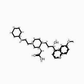 COc1ccc2nccc([C@@H](O)CC[C@@H]3CCN(CCSC4CCCCC4)C[C@@H]3CC(=O)O)c2c1